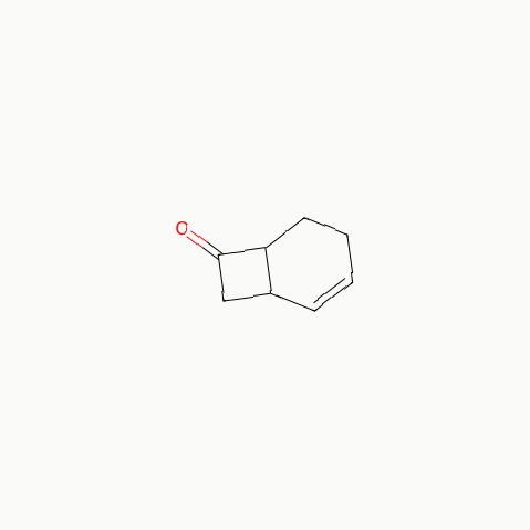 O=C1CC2C=CCCC12